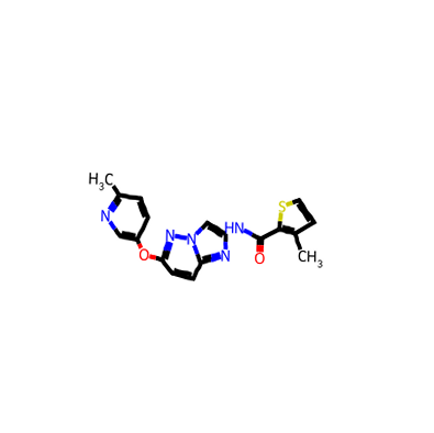 Cc1ccc(Oc2ccc3nc(NC(=O)c4sccc4C)cn3n2)cn1